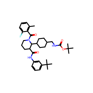 Cc1cccc(F)c1C(=O)N1CCCC(C(=O)Nc2cccc(C(C)(C)C)c2)C1C1CCC(CNC(=O)OC(C)(C)C)CC1